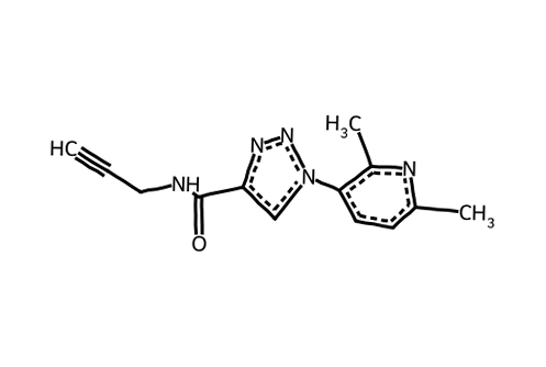 C#CCNC(=O)c1cn(-c2ccc(C)nc2C)nn1